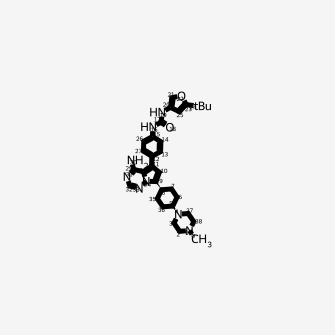 CN1CCN([C@H]2CC[C@@H](c3cc(-c4ccc(NC(=O)Nc5coc(C(C)(C)C)c5)cc4)c4c(N)ncnn43)CC2)CC1